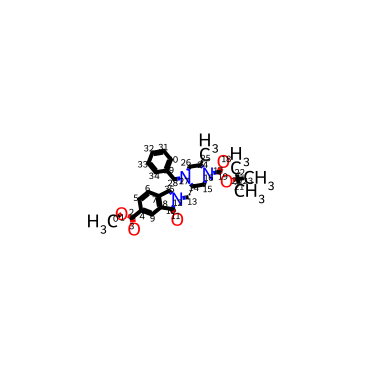 COC(=O)c1ccc2c(c1)C(=O)N(C[C@H]1CN(C(=O)OC(C)(C)C)[C@H](C)CN1Cc1ccccc1)C2